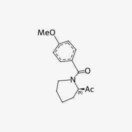 COc1ccc(C(=O)N2CCCC[C@@H]2C(C)=O)cc1